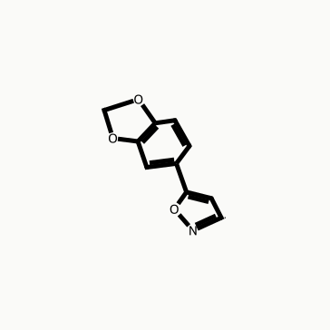 [c]1cc(-c2ccc3c(c2)OCO3)on1